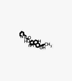 CC#C[C@@]1(O)CC[C@]2(CCC)c3ccc(OC(=O)NCc4ccccn4)cc3CC[C@H]2C1